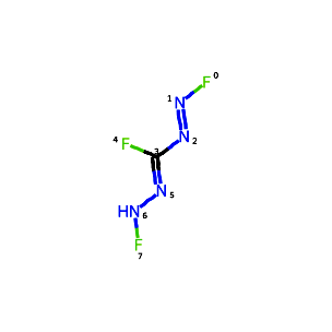 FN=NC(F)=NNF